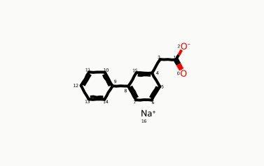 O=C([O-])Cc1cccc(-c2ccccc2)c1.[Na+]